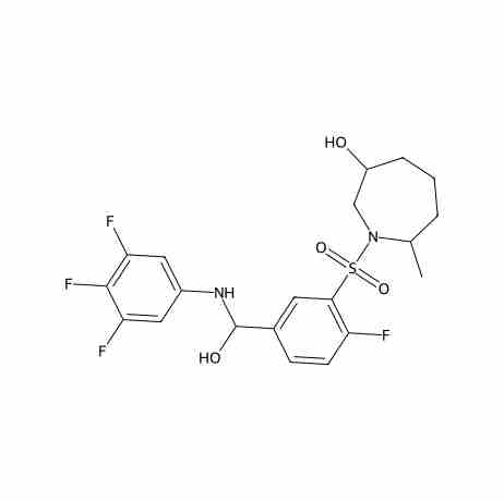 CC1CCCC(O)CN1S(=O)(=O)c1cc(C(O)Nc2cc(F)c(F)c(F)c2)ccc1F